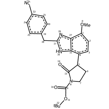 COc1ccc(C2CCN(C(=O)OC(C)(C)C)C2=O)c2[nH]c(Cc3ccc(C#N)cc3)nc12